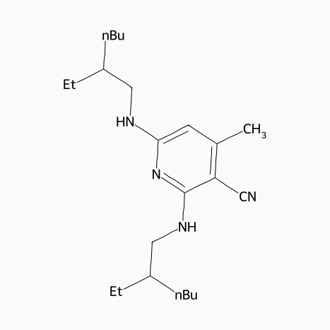 CCCCC(CC)CNc1cc(C)c(C#N)c(NCC(CC)CCCC)n1